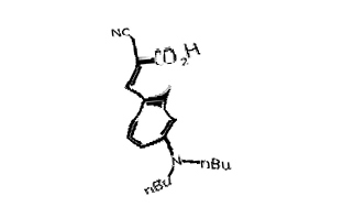 CCCCN(CCCC)c1ccc(C=C(C#N)C(=O)O)cc1